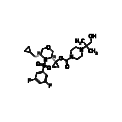 CC(C)(CO)N1CCN(C(=O)OC2([C@H]3COC[C@@H](CC4CC4)N3S(=O)(=O)c3cc(F)cc(F)c3)CC2)CC1